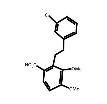 COc1ccc(C(=O)O)c(CCc2cccc(Cl)c2)c1OC